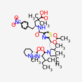 CCCN(C(=O)[C@@H](NC(=O)[C@H]1CCCCN1C)[C@@H](C)CC)[C@H](C[C@@H](OC(C)=O)c1nc(C(=O)N[C@@H](Cc2ccc([N+](=O)[O-])cc2)CC(C)(C)C(=O)O)cs1)C(C)C